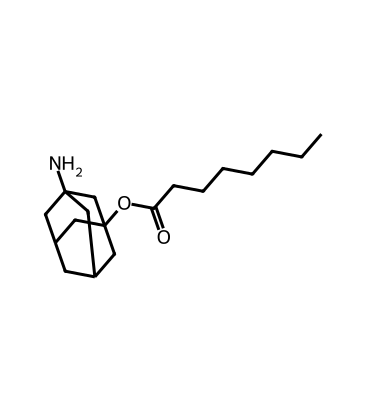 CCCCCCCC(=O)OC12CC3CC(CC(N)(C3)C1)C2